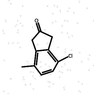 Cc1ccc(Cl)c2c1CC(=O)C2